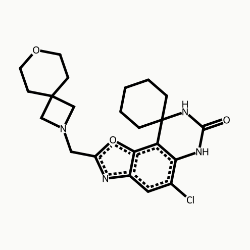 O=C1Nc2c(Cl)cc3nc(CN4CC5(CCOCC5)C4)oc3c2C2(CCCCC2)N1